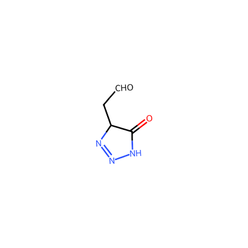 O=CCC1N=NNC1=O